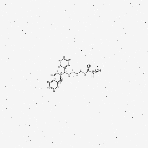 O=C(CCCCCC(c1ccccc1)c1ccc2ccccc2n1)NO